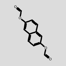 O=COc1ccc2cc(OC=O)ccc2c1